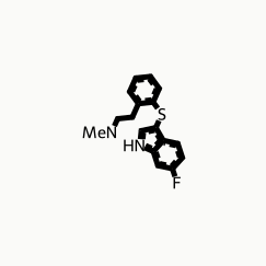 CNCCc1ccccc1Sc1c[nH]c2cc(F)ccc12